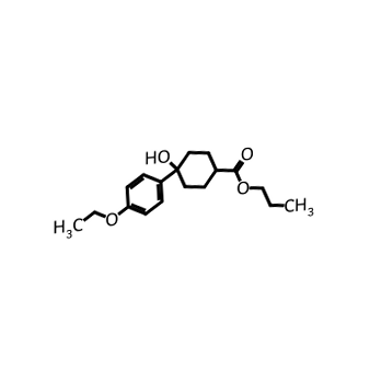 CCCOC(=O)C1CCC(O)(c2ccc(OCC)cc2)CC1